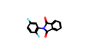 O=C1c2ccccc2C(=O)N1c1cc(F)ccc1F